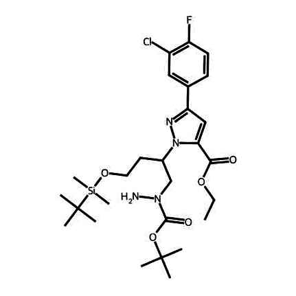 CCOC(=O)c1cc(-c2ccc(F)c(Cl)c2)nn1C(CCO[Si](C)(C)C(C)(C)C)CN(N)C(=O)OC(C)(C)C